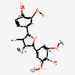 COc1cc(C2OC(c3cc(OC)c(O)c(OC)c3)C(C)C2C)ccc1O